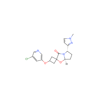 Cn1ccc([C@@H]2CC[C@H]3OC4(CC(Oc5cncc(Cl)c5)C4)C(=O)N32)n1